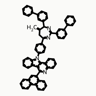 C=C1CC(c2ccc(-n3c4ccccc4c4c(-c5cc6ccccc6c6ccccc56)nc5ccccc5c43)cc2)=NC(c2cccc(-c3ccccc3)c2)=NC1c1cccc(-c2ccccc2)c1